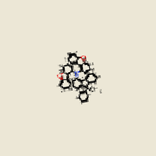 CC1(c2ccccc2)c2ccccc2-c2c(N(c3cccc4oc5ccccc5c34)c3cccc4oc5ccccc5c34)cccc21